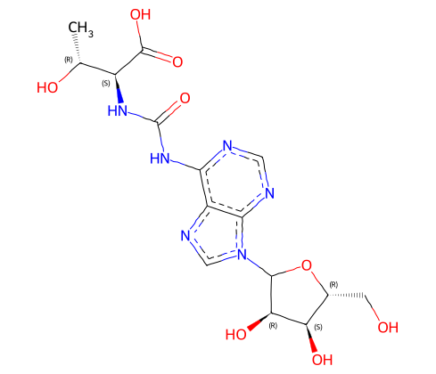 C[C@@H](O)[C@H](NC(=O)Nc1ncnc2c1ncn2C1O[C@H](CO)[C@@H](O)[C@H]1O)C(=O)O